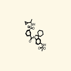 CC(NS(=O)(=O)c1cccc(C(=O)N2CC3(CCCCC3)c3cc(NS(C)(=O)=O)ccc32)c1)C1CC1